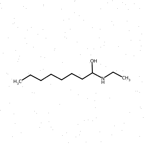 CCCCCCCC(O)NCC